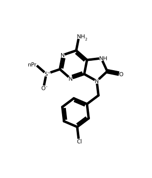 CCC[S+]([O-])c1nc(N)c2[nH]c(=O)n(Cc3cccc(Cl)c3)c2n1